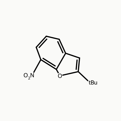 CC(C)(C)c1cc2cccc([N+](=O)[O-])c2o1